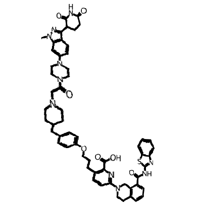 Cn1nc(C2CCC(=O)NC2=O)c2ccc(N3CCN(C(=O)CN4CCC(Cc5ccc(OCCCc6ccc(N7CCc8cccc(C(=O)Nc9nc%10ccccc%10s9)c8C7)nc6C(=O)O)cc5)CC4)CC3)cc21